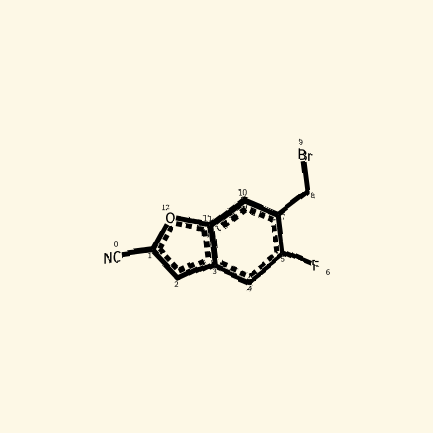 N#Cc1cc2cc(F)c(CBr)cc2o1